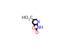 O=C(O)c1cnc2[nH]c(=O)oc2c1